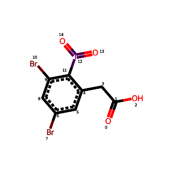 O=C(O)Cc1cc(Br)cc(Br)c1I(=O)=O